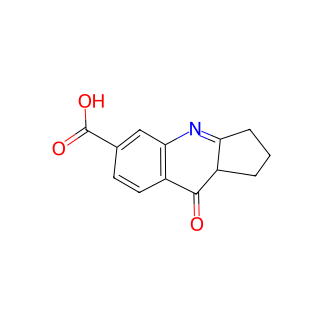 O=C(O)c1ccc2c(c1)N=C1CCCC1C2=O